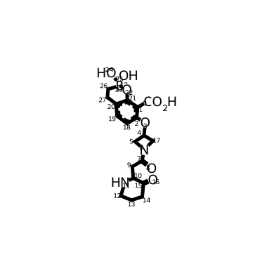 O=C(O)c1c(OC2CN(C(=O)CC3NCCCC3=O)C2)ccc2c1O[B-](O)(O)CC2